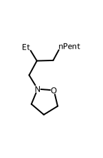 CCCCCCC(CC)CN1CCCO1